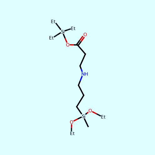 CCO[Si](C)(CCCNCCC(=O)O[Si](CC)(CC)CC)OCC